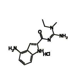 CCN(C)C(N)=NC(=O)c1cc2c(N)cccc2[nH]1.Cl